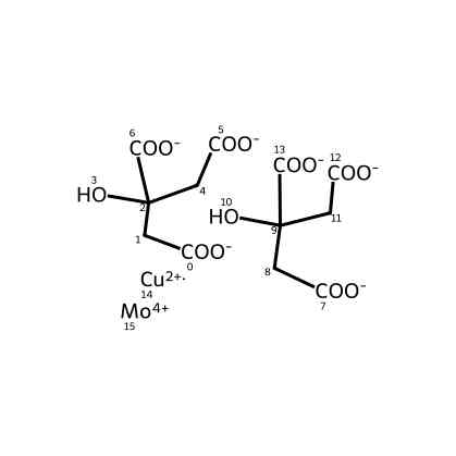 O=C([O-])CC(O)(CC(=O)[O-])C(=O)[O-].O=C([O-])CC(O)(CC(=O)[O-])C(=O)[O-].[Cu+2].[Mo+4]